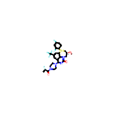 C=C(F)C(=O)N1CCN(c2nc(=O)n3c4c(cc(C(F)(F)F)cc24)[SH](c2ccc(F)cc2F)C[C@@H](OC)C3)CC1